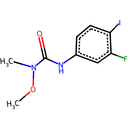 CON(C)C(=O)Nc1ccc(I)c(F)c1